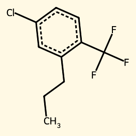 CCCc1cc(Cl)ccc1C(F)(F)F